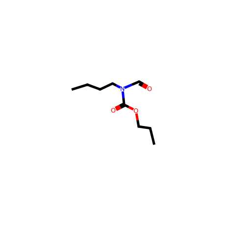 CCCCN([C]=O)C(=O)OCCC